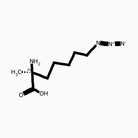 C[C@](N)(CCCCCN=[N+]=[N-])C(=O)O